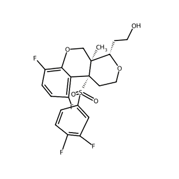 C[C@@]12COc3c(F)ccc(F)c3[C@]1(S(=O)(=O)c1ccc(F)c(F)c1)CCO[C@H]2CCO